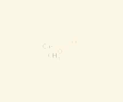 C.[Ca+2].[O-][O-]